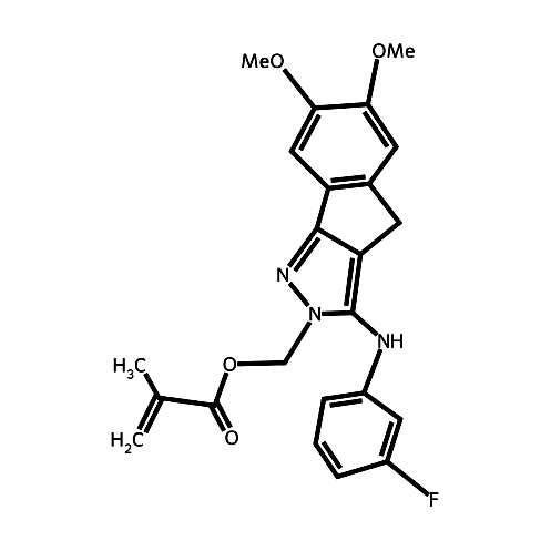 C=C(C)C(=O)OCn1nc2c(c1Nc1cccc(F)c1)Cc1cc(OC)c(OC)cc1-2